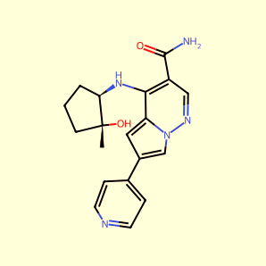 C[C@@]1(O)CCC[C@H]1Nc1c(C(N)=O)cnn2cc(-c3ccncc3)cc12